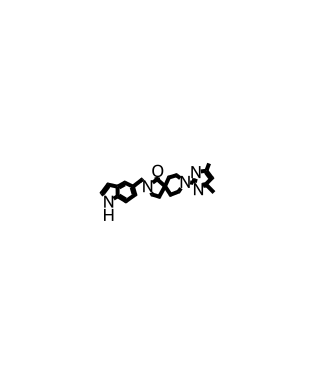 Cc1cc(C)nc(N2CCC3(CCN(Cc4ccc5[nH]ccc5c4)C3=O)CC2)n1